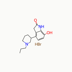 Br.CCCN1CCCC(c2ccc(O)c3c2CC(=O)N3)C1